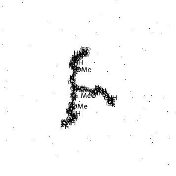 COc1cc2c(Nc3ncc(CC(=O)Nc4cccc(F)c4F)s3)ncnc2cc1OCCCN1CCC(COP(=O)(OCC2CCN(CCCOc3cc4ncnc(Nc5ncc(CC(=O)Nc6cccc(F)c6F)s5)c4cc3OC)CC2)OCC2CCN(CCCOc3cc4ncnc(Nc5ncc(CC(=O)Nc6cccc(F)c6F)s5)c4cc3OC)CC2)CC1